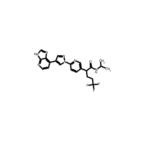 CC(C)NC(=O)C(CCC(F)(F)F)c1ccc(-n2cc(-c3ccnc4[nH]cnc34)cn2)nc1